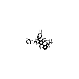 N#Cc1c(N)sc2ccc(F)c(-c3c4c(c5c(N6C7CCC6CNC7)nc(OC[C@H]6COCCO6)nc5c3F)COC4)c12